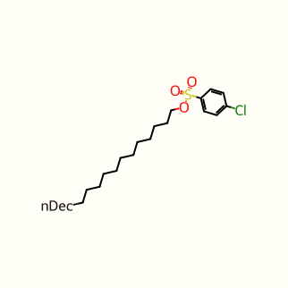 CCCCCCCCCCCCCCCCCCCCCCOS(=O)(=O)c1ccc(Cl)cc1